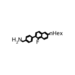 CCCCCCc1ccc2c(F)c(-c3ccc(CN)cc3)ccc2c1